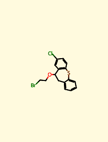 Clc1ccc2c(c1)C(OCCBr)Cc1ccccc1S2